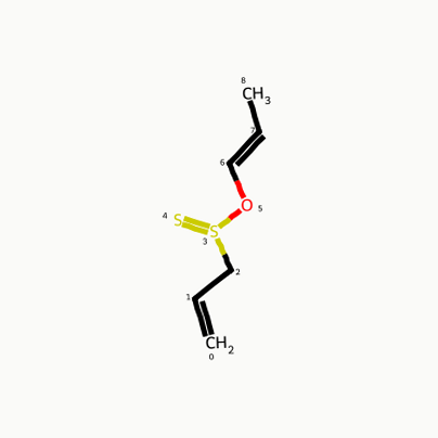 C=CCS(=S)O/C=C/C